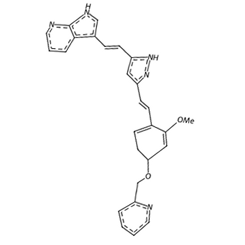 COC1=CC(OCc2ccccn2)CC=C1/C=C/c1cc(/C=C/c2c[nH]c3ncccc23)[nH]n1